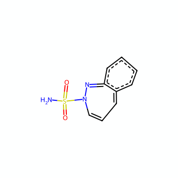 NS(=O)(=O)N1C=CC=c2ccccc2=N1